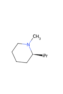 CC(C)[C@H]1CCCCN1C